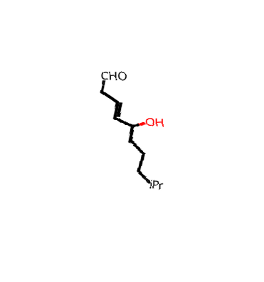 CC(C)CCCC(O)/C=C/CC=O